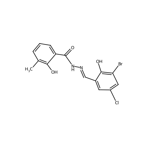 Cc1cccc(C(=O)N/N=C/c2cc(Cl)cc(Br)c2O)c1O